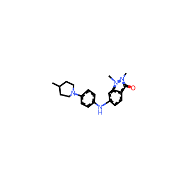 CC1CCN(c2ccc(Nc3ccc4c(=O)n(C)n(C)c4c3)cc2)CC1